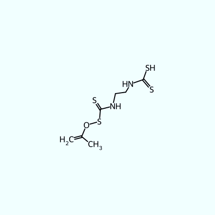 C=C(C)OSC(=S)NCCNC(=S)S